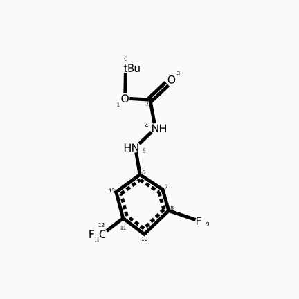 CC(C)(C)OC(=O)NNc1cc(F)cc(C(F)(F)F)c1